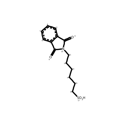 O=C1c2ccccc2C(=O)N1CCCCCCS(=O)(=O)O